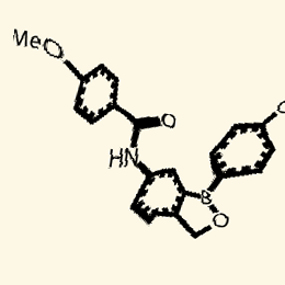 COc1ccc(C(=O)Nc2ccc3c(c2)B(c2ccc(Cl)cc2)OC3)cc1